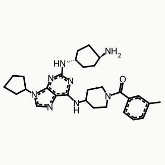 Cc1cccc(C(=O)N2CCC(Nc3nc(N[C@H]4CC[C@H](N)CC4)nc4c3ncn4C3CCCC3)CC2)c1